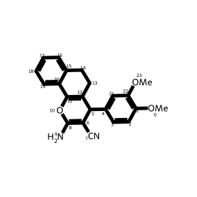 COc1ccc(C2C(C#N)=C(N)OC3=C2CCc2ccccc23)cc1OC